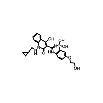 O=c1c(C2=NS(O)(O)c3cc(OCCO)ccc3N2)c(O)c2ccccc2n1NCC1CC1